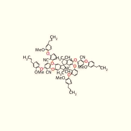 C=CCc1ccc(Oc2cccc(Oc3cc4c(cc3Oc3cccc(Oc5ccc(CC=C)cc5OC)c3C#N)C3(CC4(C)C)CC(C)(C)c4cc(Oc5cccc(Oc6ccc(CC=C)cc6OC)c5C#N)c(Oc5cccc(Oc6ccc(CC=C)cc6OC)c5C#N)cc43)c2C#N)c(OC)c1